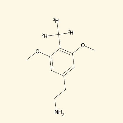 [2H]C([2H])([2H])c1c(OC)cc(CCN)cc1OC